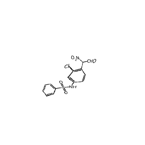 O=CC(c1ccc(NS(=O)(=O)c2ccccc2)cc1Cl)[N+](=O)[O-]